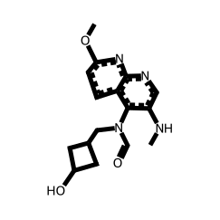 CNc1cnc2nc(OC)ccc2c1N(C=O)CC1CC(O)C1